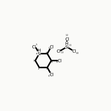 ClC1CC[SiH](Cl)C(Cl)C1Cl.Cl[SiH](Cl)Cl